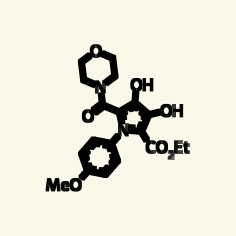 CCOC(=O)c1c(O)c(O)c(C(=O)N2CCOCC2)n1-c1ccc(OC)cc1